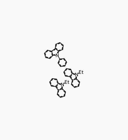 CCn1c2ccccc2c2ccccc21.CCn1c2ccccc2c2ccccc21.c1ccc(-n2c3ccccc3c3ccccc32)cc1